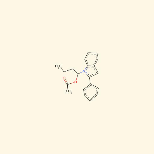 CCCC(OC(C)=O)n1c(-c2ccccc2)cc2ccccc21